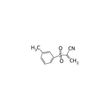 C=C(C#N)S(=O)(=O)c1cccc(C)c1